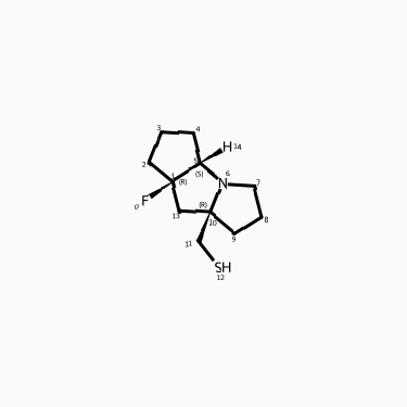 F[C@@]12CCC[C@@H]1N1CCC[C@]1(CS)C2